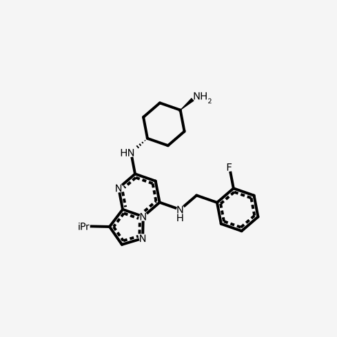 CC(C)c1cnn2c(NCc3ccccc3F)cc(N[C@H]3CC[C@H](N)CC3)nc12